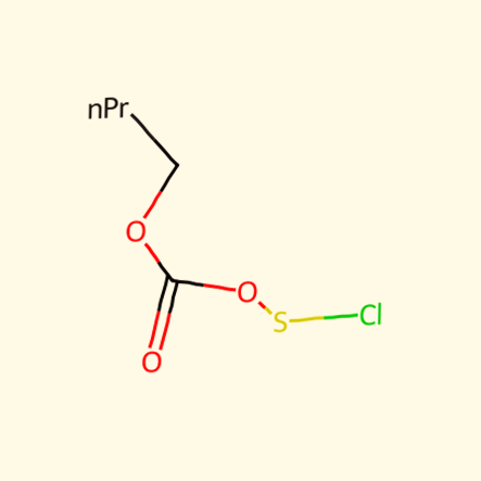 CCCCOC(=O)OSCl